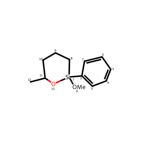 CO[Si]1(c2ccccc2)CCCC(C)O1